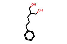 OCC(CO)CCCc1ccccc1